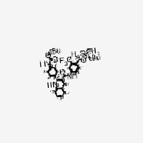 CC(C)(C)OC(=O)Nc1ccc([C@@H]2Nc3ccccc3C[C@@H]2C(=O)Nc2ccc(CO[Si](C)(C)C(C)(C)C)c(C(F)(F)F)c2)cc1